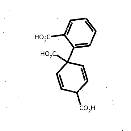 O=C(O)c1ccccc1C1(C(=O)O)C=CC(C(=O)O)C=C1